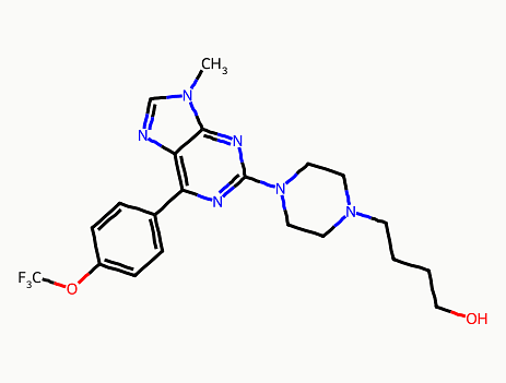 Cn1cnc2c(-c3ccc(OC(F)(F)F)cc3)nc(N3CCN(CCCCO)CC3)nc21